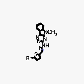 Cn1c2ccccc2c2nnc(N/N=C/c3ccc(Br)s3)nc21